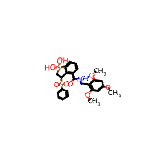 COc1cc(OC)c(CNC(=O)c2cccc3c2C(S(=O)(=O)c2ccccc2)CS3(O)O)c(OC)c1